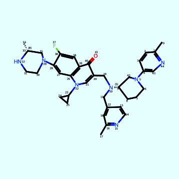 Cc1ccc(N2CCC[C@H](N(Cc3ccnc(C)c3)Cc3cn(C4CC4)c4cc(N5CCN[C@H](C)C5)c(F)cc4c3=O)C2)cn1